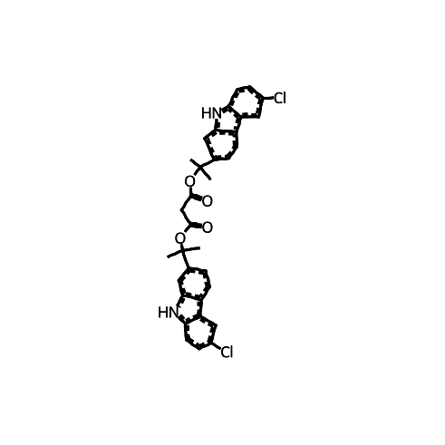 CC(C)(OC(=O)CC(=O)OC(C)(C)c1ccc2c(c1)[nH]c1ccc(Cl)cc12)c1ccc2c(c1)[nH]c1ccc(Cl)cc12